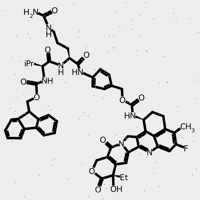 CC[C@@]1(O)C(=O)OCc2c1cc1n(c2=O)Cc2c-1nc1cc(F)c(C)c3c1c2[C@@H](NC(=O)OCc1ccc(NC(=O)[C@H](CCCNC(N)=O)NC(=O)[C@@H](NC(=O)OCC2c4ccccc4-c4ccccc42)C(C)C)cc1)CC3